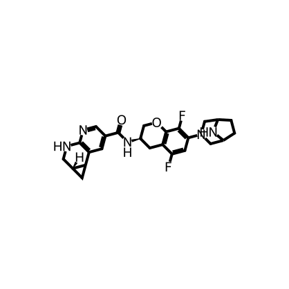 O=C(N[C@H]1COc2c(F)c(N3CC4CCC(C3)N4)cc(F)c2C1)c1cnc2c(c1)C1C[C@@H]1CN2